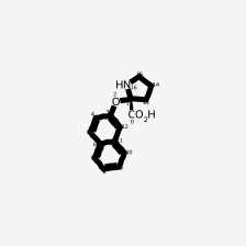 O=C(O)[C@]1(Oc2ccc3ccccc3c2)CCCN1